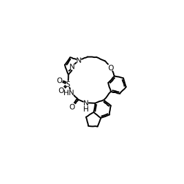 O=C1Nc2c(ccc3c2CCC3)-c2cccc(c2)OCCCn2ccc(n2)S(=O)(=O)N1